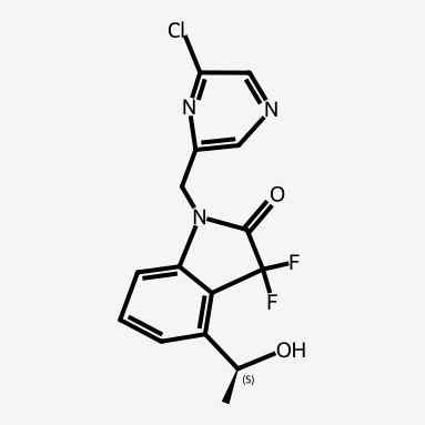 C[C@H](O)c1cccc2c1C(F)(F)C(=O)N2Cc1cncc(Cl)n1